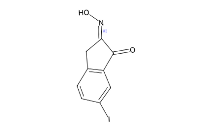 O=C1/C(=N/O)Cc2ccc(I)cc21